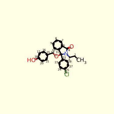 CCCN1C(=O)c2ccccc2C1(OCc1ccc(O)cc1)c1ccc(Cl)cc1